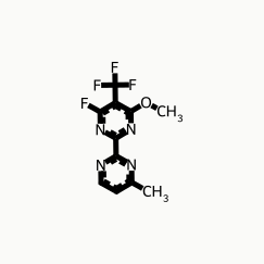 COc1nc(-c2nccc(C)n2)nc(F)c1C(F)(F)F